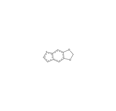 [c]1cc2cc3c(cc2s1)OCO3